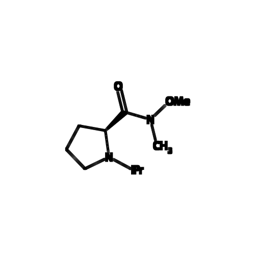 CON(C)C(=O)[C@@H]1CCCN1C(C)C